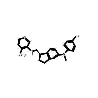 CC(C)c1ccc(N(C)c2ccc3c(c2)CC[C@H]3CNc2cnccc2C(=O)O)cc1